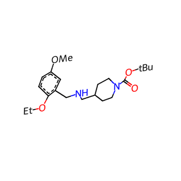 CCOc1ccc(OC)cc1CNCC1CCN(C(=O)OC(C)(C)C)CC1